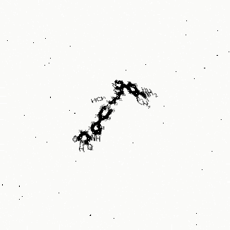 Cc1cc(-c2ccnc3sc(CCCCN4CCC(c5ccc(NC6CCC(=O)NC6=O)cc5)CC4)cc23)ccc1CN.Cl